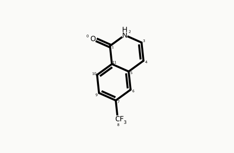 O=c1[nH]ccc2cc(C(F)(F)F)ccc12